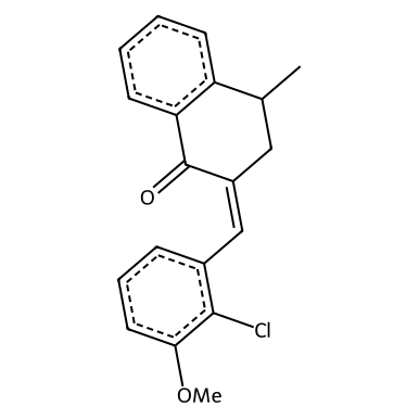 COc1cccc(C=C2CC(C)c3ccccc3C2=O)c1Cl